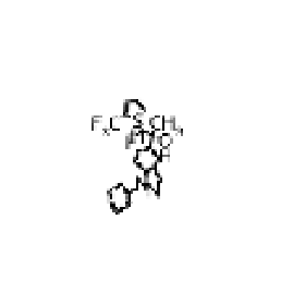 CC(O)(c1ccc2c(cnn2-c2ccccc2)c1)C(F)[SH]1C=CC=C1C(F)(F)F